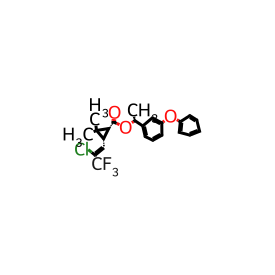 C[C@H](OC(=O)[C@@H]1[C@H](/C=C(\Cl)C(F)(F)F)C1(C)C)c1cccc(Oc2ccccc2)c1